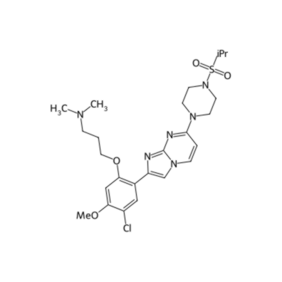 COc1cc(OCCCN(C)C)c(-c2cn3ccc(N4CCN(S(=O)(=O)C(C)C)CC4)nc3n2)cc1Cl